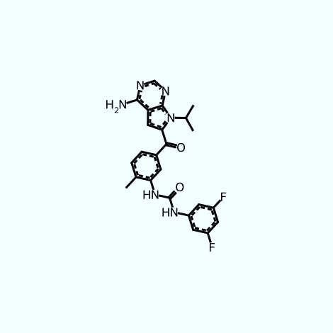 Cc1ccc(C(=O)c2cc3c(N)ncnc3n2C(C)C)cc1NC(=O)Nc1cc(F)cc(F)c1